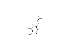 CC(C)=CCC1=C(C)C(=O)C(CO)=C(CO)C1=O